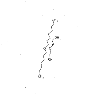 CCCCCCCCOCCCCCCC.OCCOCCO